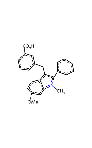 COc1ccc2c(Cc3cccc(C(=O)O)c3)c(-c3ccccc3)n(C)c2c1